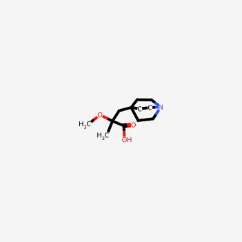 COC(C)(CC12CCN(CC1)CC2)C(=O)O